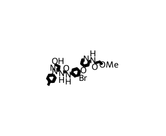 COCC(=O)Nc1cc(Oc2ccc(NC(=O)Nc3cc(O)nn3-c3ccc(C)cc3)cc2Br)ccn1